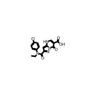 CCN(C(=O)c1cc2[nH]cc(C(=O)O)c(=O)n2n1)c1ccc(Cl)cc1